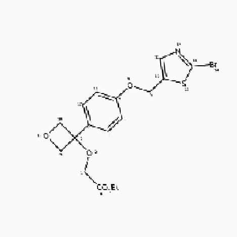 CCOC(=O)COC1(c2ccc(OCc3cnc(Br)s3)cc2)COC1